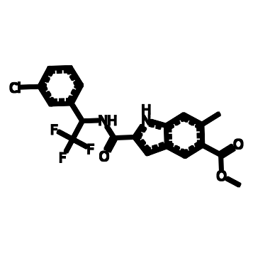 COC(=O)c1cc2cc(C(=O)NC(c3cccc(Cl)c3)C(F)(F)F)[nH]c2cc1C